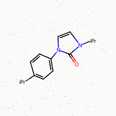 CC(C)c1ccc(-n2ccn(C(C)C)c2=O)cc1